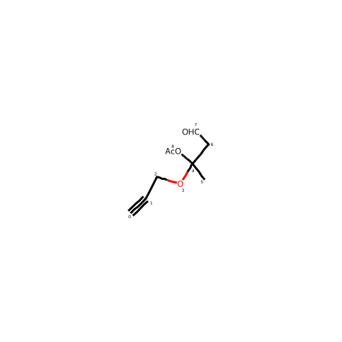 C#CCOC(C)(CC=O)OC(C)=O